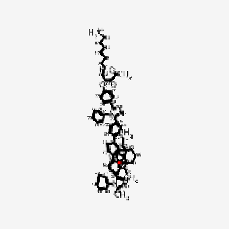 C=C(C)C(=O)C(CCCCCCCCC)Oc1ccc(-c2nnc(-c3ccc(-c4ccc5c(c4)C4(c6cc(-c7nnc(C)n7-c7ccccc7)ccc6-5)C5(CCC)CCCC4(CCC)CCC5)cc3)n2-c2ccccc2)cc1